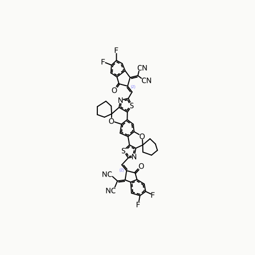 N#CC(C#N)=C1/C(=C/c2nc3c(s2)-c2cc4c(cc2OC32CCCCC2)-c2sc(/C=C3\C(=O)c5cc(F)c(F)cc5C3=C(C#N)C#N)nc2C2(CCCCC2)O4)C(=O)c2cc(F)c(F)cc21